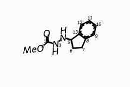 COC(=O)NNC1CCc2ccccc21